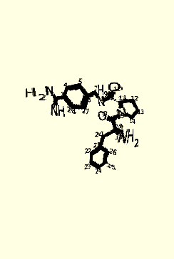 N=C(N)c1ccc(CNC(=O)[C@@H]2CCCN2C(=O)C(N)Cc2ccccc2)cc1